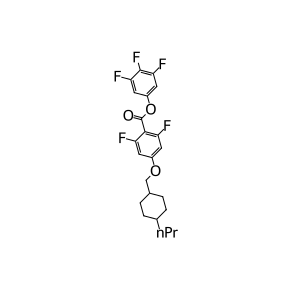 CCCC1CCC(COc2cc(F)c(C(=O)Oc3cc(F)c(F)c(F)c3)c(F)c2)CC1